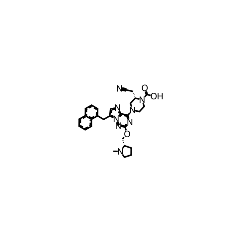 CN1CCC[C@H]1COc1nc(N2CCN(C(=O)O)[C@@H](CC#N)C2)c2ncc(Cc3cccc4ccccc34)n2n1